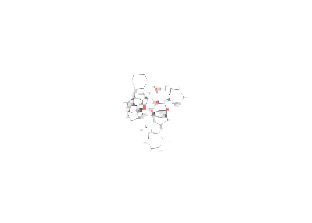 PC(c1ccccc1)(c1ccccc1)c1ccccc1-c1c(C(P)(c2ccccc2)c2ccccc2)cccc1C(P)(c1ccccc1)c1ccccc1